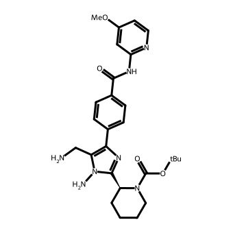 COc1ccnc(NC(=O)c2ccc(-c3nc([C@@H]4CCCCN4C(=O)OC(C)(C)C)n(N)c3CN)cc2)c1